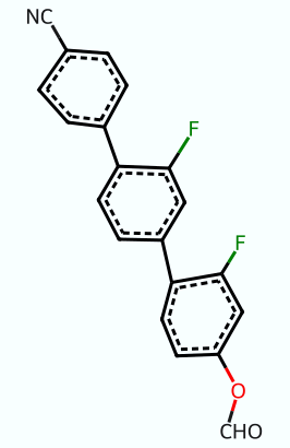 N#Cc1ccc(-c2ccc(-c3ccc(OC=O)cc3F)cc2F)cc1